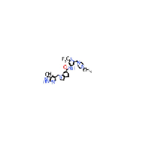 Cc1n[nH]c2ncc(CN3CCc4ccc(C(=O)Nc5cc(CN6CCN(C)CC6)nc(C(F)(F)F)c5)cc43)cc12